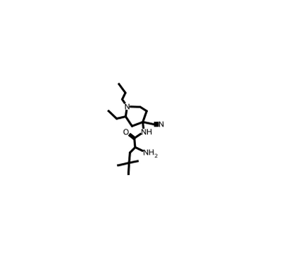 CCCN1CCC(C#N)(NC(=O)C(N)CC(C)(C)C)CC1CC